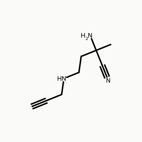 C#CCNCCC(C)(N)C#N